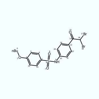 CCCCOc1ccc(S(=O)(=O)Nc2ccc(C(=O)C(Br)Br)cc2)cc1